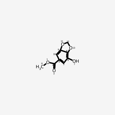 COC(=O)c1cc(O)c2c(c1)OCO2